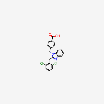 O=C(O)c1ccc(Cn2c(Cc3c(Cl)cccc3Cl)nc3ccccc32)cc1